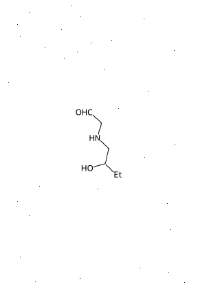 CCC(O)CNCC=O